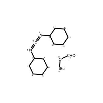 C(=NC1CCCCC1)=NC1CCCCC1.CC(C)(C)O[C]=O